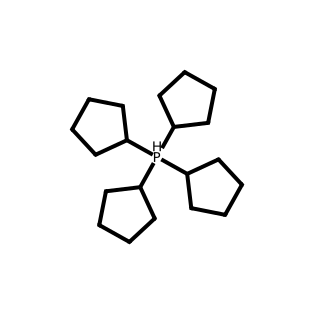 C1CCC([PH](C2CCCC2)(C2CCCC2)C2CCCC2)C1